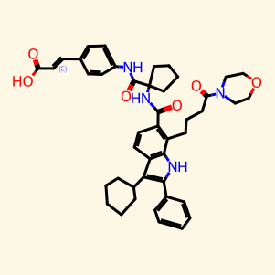 O=C(O)/C=C/c1ccc(NC(=O)C2(NC(=O)c3ccc4c(C5CCCCC5)c(-c5ccccc5)[nH]c4c3CCCC(=O)N3CCOCC3)CCCC2)cc1